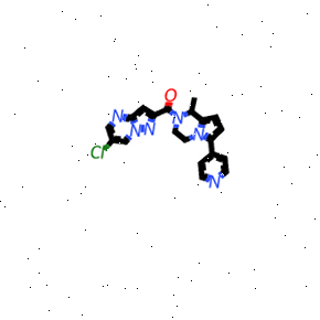 CC1c2ccc(-c3ccncc3)n2CCN1C(=O)c1cc2ncc(Cl)cn2n1